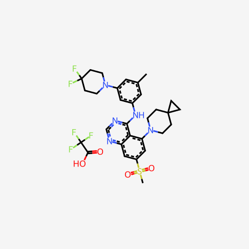 Cc1cc(Nc2ncnc3cc(S(C)(=O)=O)cc(N4CCC5(CC4)CC5)c23)cc(N2CCC(F)(F)CC2)c1.O=C(O)C(F)(F)F